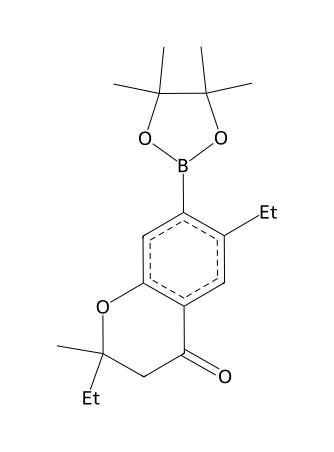 CCc1cc2c(cc1B1OC(C)(C)C(C)(C)O1)OC(C)(CC)CC2=O